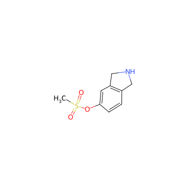 CS(=O)(=O)Oc1ccc2c(c1)CNC2